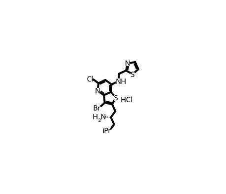 CC(C)C[C@H](N)Cc1sc2c(NCc3nccs3)cc(Cl)nc2c1Br.Cl